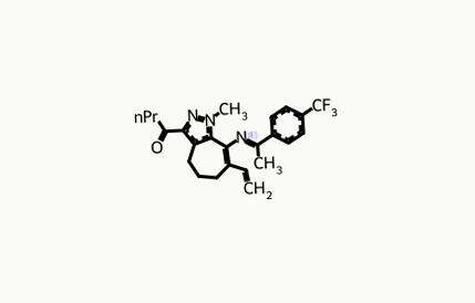 C=CC1=C(/N=C(\C)c2ccc(C(F)(F)F)cc2)c2c(c(C(=O)CCC)nn2C)CCC1